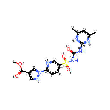 COC(=O)c1cnn(-c2ccc(S(=O)(=O)NC(=O)Nc3nc(C)cc(C)n3)cn2)c1